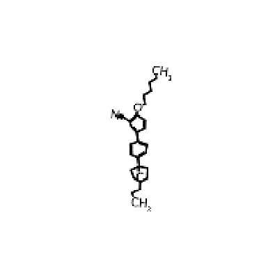 CCCCCCOc1ccc(-c2ccc(C34CCC(CCC)(CC3)CC4)cc2)cc1C#N